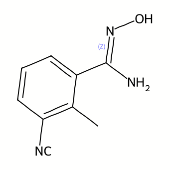 [C-]#[N+]c1cccc(/C(N)=N/O)c1C